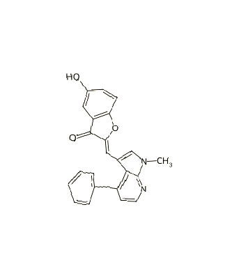 Cn1cc(/C=C2\Oc3ccc(O)cc3C2=O)c2c(-c3ccccc3)ccnc21